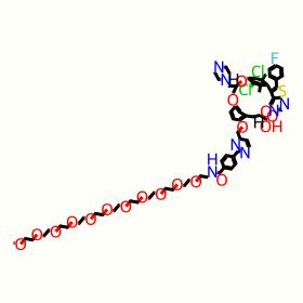 COCCOCCOCCOCCOCCOCCOCCOCCOCCOCCOCCNC(=O)c1ccc(-c2nccc(COc3ccc4cc3C[C@H](C(=O)O)Oc3ncnc5sc(-c6ccc(F)cc6)c(c35)-c3c(C)c(Cl)c(c(Cl)c3C)O[C@H](CN3CCN(C)CC3)CO4)n2)cc1